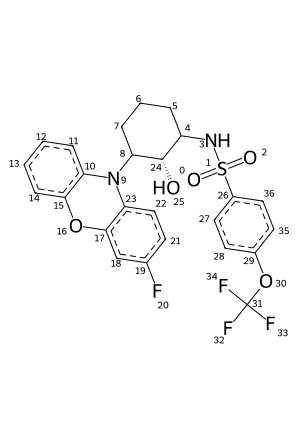 O=S(=O)(NC1CCCC(N2c3ccccc3Oc3cc(F)ccc32)[C@H]1O)c1ccc(OC(F)(F)F)cc1